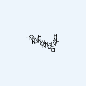 Cc1cccc(-c2nccc(Nc3ccnc(Nc4ccc(Cl)c(CN5CC(C)NC(C)C5)c4)n3)n2)n1